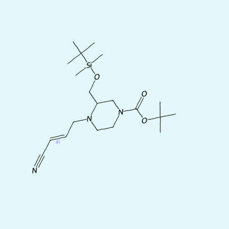 CC(C)(C)OC(=O)N1CCN(C/C=C/C#N)C(CO[Si](C)(C)C(C)(C)C)C1